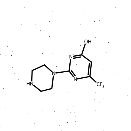 Oc1cc(C(F)(F)F)nc(N2CCNCC2)n1